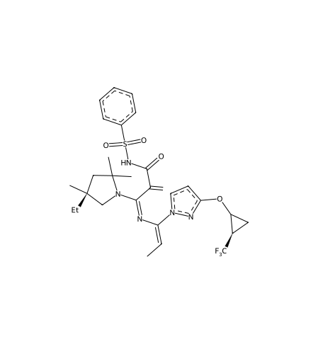 C=C(C(=O)NS(=O)(=O)c1ccccc1)/C(=N\C(=C/C)n1ccc(OC2C[C@H]2C(F)(F)F)n1)N1C[C@@](C)(CC)CC1(C)C